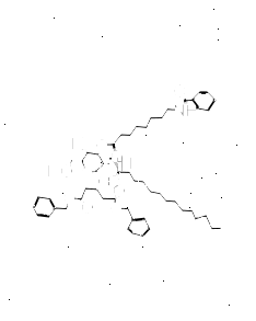 CCCCCCCCCCCCCC(=O)N[C@H]1[C@@H](OC(CC(=O)OCc2ccccc2)CC(=O)OCc2ccccc2)O[C@H](CO)[C@@H](O)[C@@H]1OC(=O)CCCCCCCNC(=O)c1ccccc1